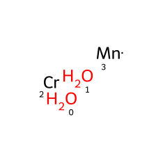 O.O.[Cr].[Mn]